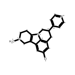 CN1CCc2c(c3cc(Cl)cc4c3n2CC(c2ccncc2)C4)C1